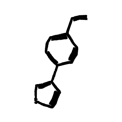 C=Cc1ccc(-c2ccsc2)cc1